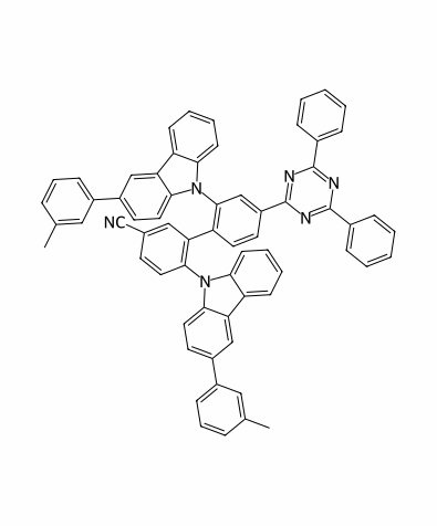 Cc1cccc(-c2ccc3c(c2)c2ccccc2n3-c2ccc(C#N)cc2-c2ccc(-c3nc(-c4ccccc4)nc(-c4ccccc4)n3)cc2-n2c3ccccc3c3cc(-c4cccc(C)c4)ccc32)c1